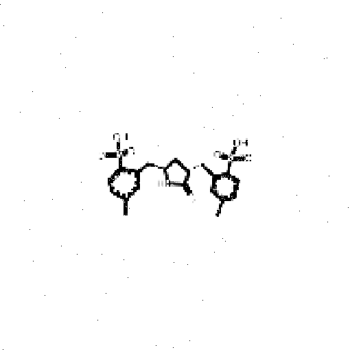 Cc1ccc(S(=O)(=O)O)c(C[C@H]2C[C@H](Cc3cc(C)ccc3S(=O)(=O)O)C(=O)N2)c1